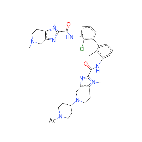 CC(=O)N1CCC(N2CCc3c(nc(C(=O)Nc4cccc(-c5cccc(NC(=O)c6nc7c(n6C)CCN(C)C7)c5Cl)c4C)n3C)C2)CC1